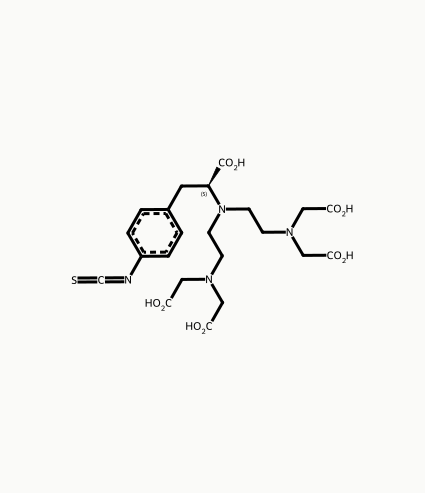 O=C(O)CN(CCN(CCN(CC(=O)O)CC(=O)O)[C@@H](Cc1ccc(N=C=S)cc1)C(=O)O)CC(=O)O